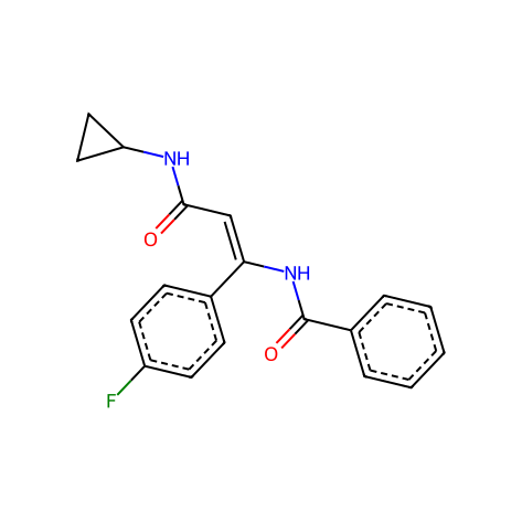 O=C(C=C(NC(=O)c1ccccc1)c1ccc(F)cc1)NC1CC1